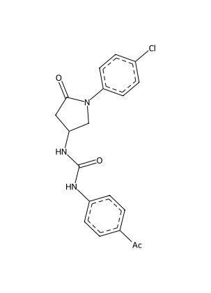 CC(=O)c1ccc(NC(=O)NC2CC(=O)N(c3ccc(Cl)cc3)C2)cc1